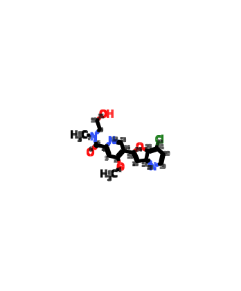 COc1cc(C(=O)N(C)CCO)ncc1-c1cc2nccc(Cl)c2o1